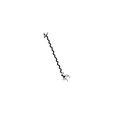 C=C(C)COCCCCCCCCCCCCCCCCCCCC[Si](F)(F)F